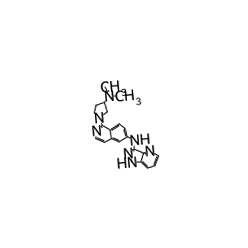 CN(C)C1CCN(c2nccc3cc(Nc4n[nH]c5cccnc45)ccc23)C1